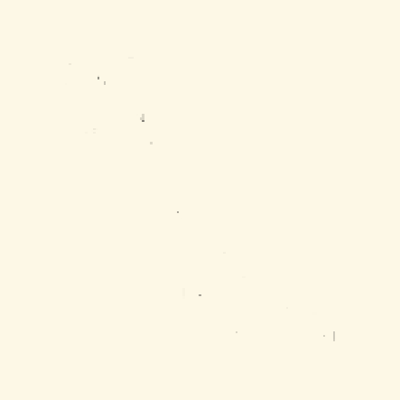 COc1ccc2[nH]c3c(c2c1)CCN(c1ccc2sc(N(C)C)nc2c1)C3